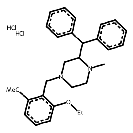 CCOc1cccc(OC)c1CN1CCN(C)C(C(c2ccccc2)c2ccccc2)C1.Cl.Cl